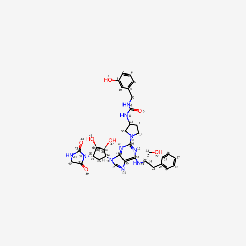 O=C(NCc1cccc(O)c1)NC1CCN(c2nc(N[C@H](CO)Cc3ccccc3)c3ncn([C@@H]4C[C@H](N5C(=O)CNC5=O)[C@@H](O)[C@H]4O)c3n2)C1